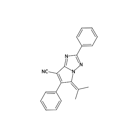 CC(C)=c1c(-c2ccccc2)c(C#N)c2nc(-c3ccccc3)nn12